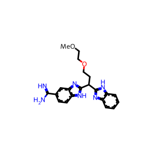 COCCOCCC(c1nc2ccccc2[nH]1)c1nc2cc(C(=N)N)ccc2[nH]1